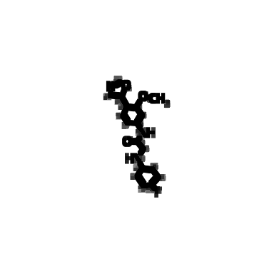 COc1cc(NC(=O)CNc2ccc(F)cc2)ccc1-c1cnco1